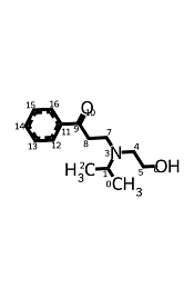 CC(C)N(CCO)CCC(=O)c1ccccc1